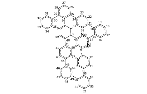 C1=CCC(c2cc(-c3ccccc3)nc(-c3ccccc3-c3ccc(-c4cccc(-c5ccccc5)c4)cc3)n2)C(c2ccc(-c3cccc(-c4ccccc4)c3)cc2)=C1